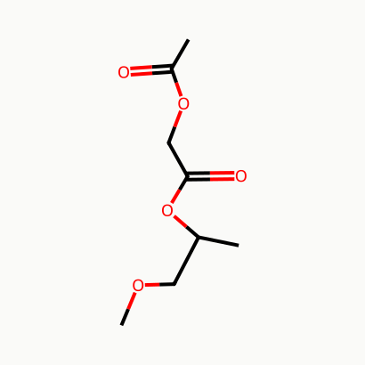 COCC(C)OC(=O)COC(C)=O